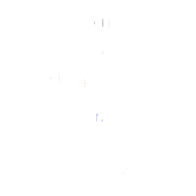 COP(Cl)N1CCOCC1